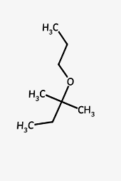 CCCOC(C)(C)CC